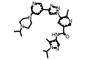 Cc1ncc(C(=O)Nc2cnn(C(C)C)c2C)cc1-n1cc(-c2cncc(N3CCN(C(C)C)CC3)c2)nn1